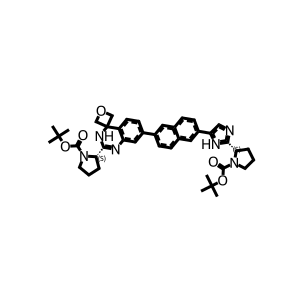 CC(C)(C)OC(=O)N1CCC[C@H]1C1=Nc2cc(-c3ccc4cc(-c5cnc([C@@H]6CCCN6C(=O)OC(C)(C)C)[nH]5)ccc4c3)ccc2C2(COC2)N1